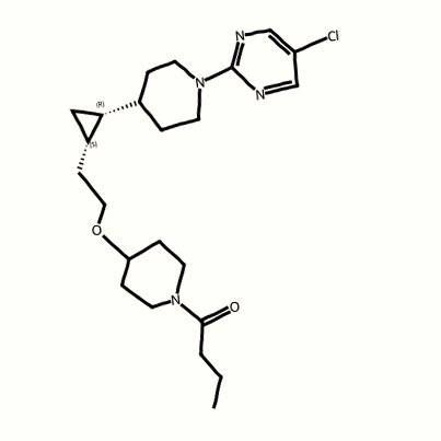 CCCC(=O)N1CCC(OCC[C@@H]2C[C@@H]2C2CCN(c3ncc(Cl)cn3)CC2)CC1